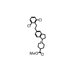 COC(=O)C1CCN(C2CCc3cc(CCc4c(Cl)cccc4Cl)ccc32)CC1